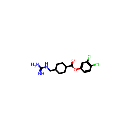 N=C(N)NCC1CCC(C(=O)Oc2ccc(Cl)c(Cl)c2)CC1